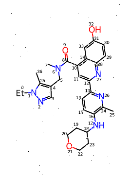 CCn1ncc(CN(C)C(=O)c2cc(-c3ccc(NC4CCOCC4)c(C)n3)nc3ccc(O)cc23)c1C